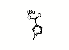 Cn1ccc(C(=O)OC(C)(C)C)c1